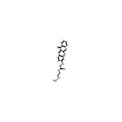 COCCOC(=O)COc1ccc2cc(C(=O)c3ccccc3)c(=O)oc2c1